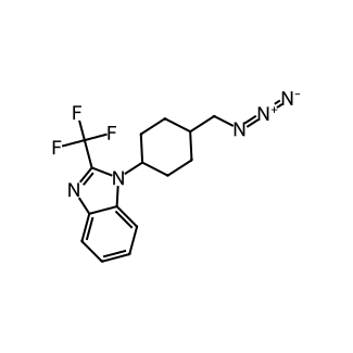 [N-]=[N+]=NCC1CCC(n2c(C(F)(F)F)nc3ccccc32)CC1